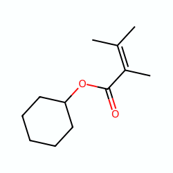 CC(C)=C(C)C(=O)OC1CCCCC1